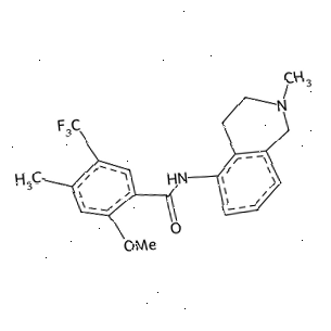 COc1cc(C)c(C(F)(F)F)cc1C(=O)Nc1cccc2c1CCN(C)C2